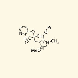 CO[C@@H]1CN(C)[C@H](COC(C)C)C1CC(C)(C)Oc1cccnc1C1CC1